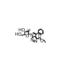 CCONc1ncnc2c1c(-c1ccccc1)cn2[C@@H]1OC(CO)C(O)[C@@]1(C)F